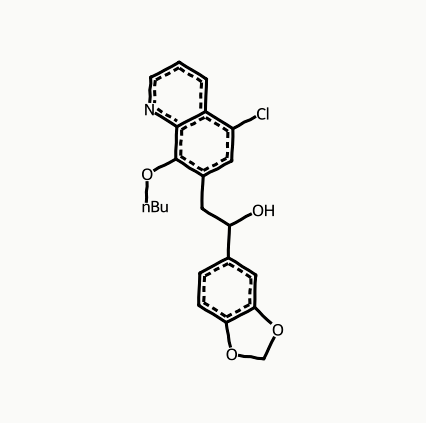 CCCCOc1c(CC(O)c2ccc3c(c2)OCO3)cc(Cl)c2cccnc12